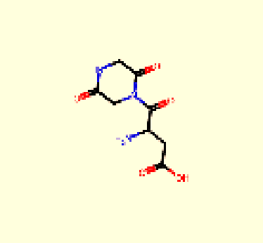 NC(CC(=O)O)C(=O)N1CC(=O)NCC1=O